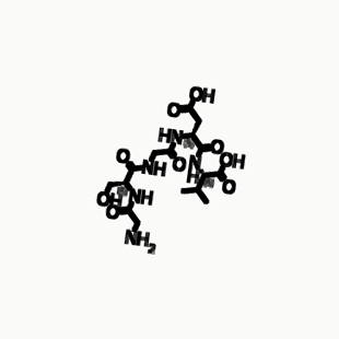 CC(C)[C@H](NC(=O)[C@H](CC(=O)O)NC(=O)CNC(=O)[C@H](CO)NC(=O)CN)C(=O)O